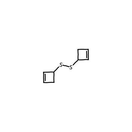 C1=CC(SSC2C=CC2)C1